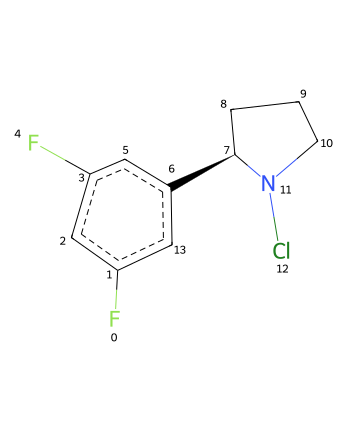 Fc1cc(F)cc([C@H]2CCCN2Cl)c1